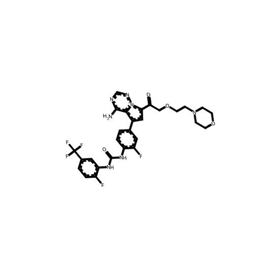 Nc1ncnn2c(C(=O)COCCN3CCOCC3)cc(-c3ccc(NC(=O)Nc4cc(C(F)(F)F)ccc4F)c(F)c3)c12